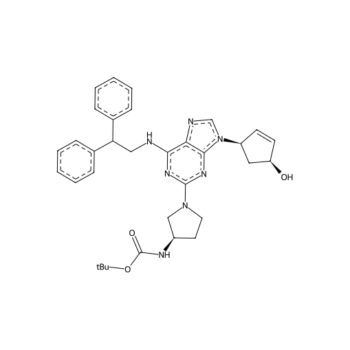 CC(C)(C)OC(=O)N[C@@H]1CCN(c2nc(NCC(c3ccccc3)c3ccccc3)c3ncn([C@H]4C=C[C@@H](O)C4)c3n2)C1